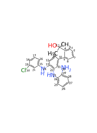 CC(C)(O)c1ccccc1-c1ccc(Nc2cccc(Cl)c2)c(Nc2ccccc2N)c1